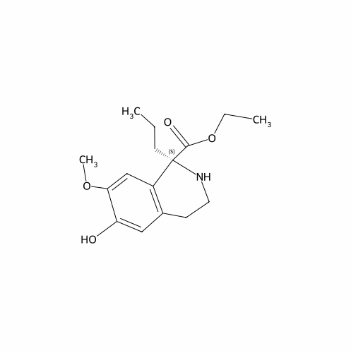 CCC[C@]1(C(=O)OCC)NCCc2cc(O)c(OC)cc21